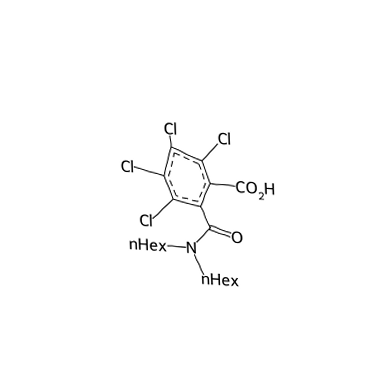 CCCCCCN(CCCCCC)C(=O)c1c(Cl)c(Cl)c(Cl)c(Cl)c1C(=O)O